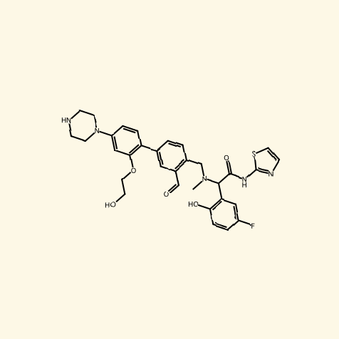 CN(Cc1ccc(-c2ccc(N3CCNCC3)cc2OCCO)cc1C=O)C(C(=O)Nc1nccs1)c1cc(F)ccc1O